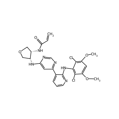 C=CC(=O)N[C@H]1COC[C@H]1Nc1cc(-c2cccnc2Nc2c(Cl)c(OC)cc(OC)c2Cl)ncn1